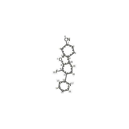 N#Cc1ccc2c(c1)oc1c(F)c(-c3ccccn3)ccc12